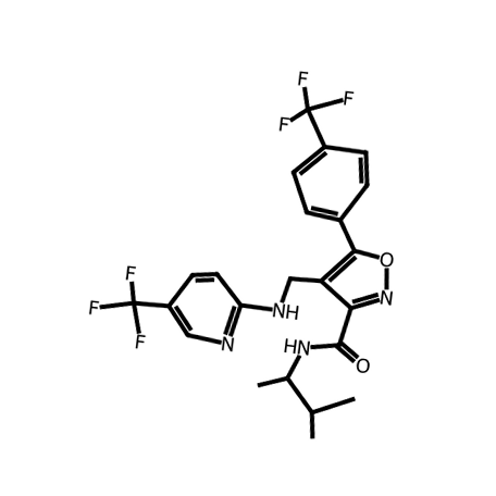 CC(C)C(C)NC(=O)c1noc(-c2ccc(C(F)(F)F)cc2)c1CNc1ccc(C(F)(F)F)cn1